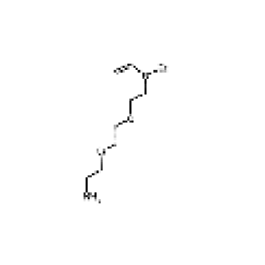 C=CN(CC)CCOCCOCCN